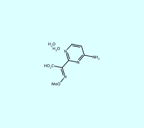 CON=C(C(=O)O)c1nccc(N)n1.O.O